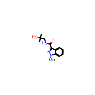 CC(C)(O)CNC(=O)c1nn(C(C)(C)C)c2ccccc12